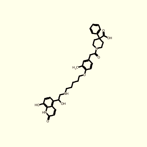 Cc1cc(CC(=O)N2CCC(C(=O)O)(c3ccccc3)CC2)ccc1OCCCCCNCC(O)c1ccc(O)c2[nH]c(=O)ccc12